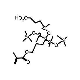 C=C(C)C(=O)OCCC[Si](O[Si](C)(C)CCCC(=O)O)([Si](C)(C)O[Si](C)(C)C)[Si](C)(C)O[Si](C)(C)C